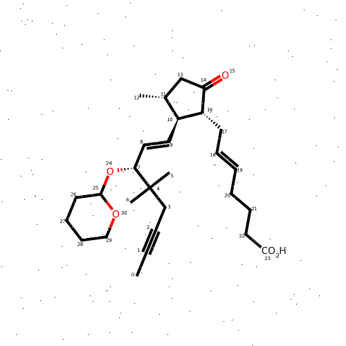 CC#CCC(C)(C)[C@@H](C=C[C@H]1[C@H](C)CC(=O)[C@@H]1CC=CCCCC(=O)O)OC1CCCCO1